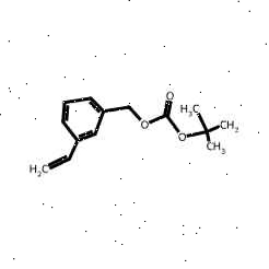 C=Cc1cccc(COC(=O)OC(C)(C)C)c1